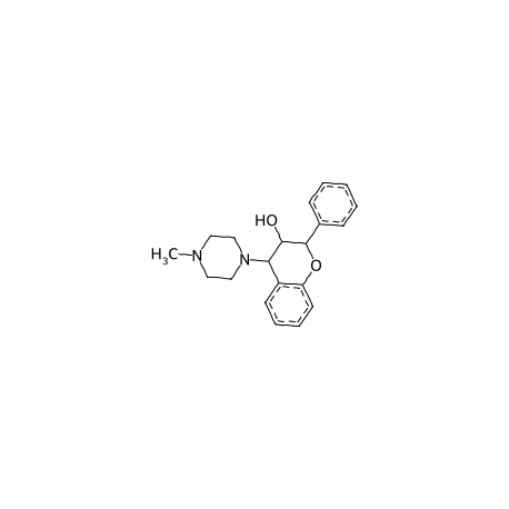 CN1CCN(C2c3ccccc3OC(c3ccccc3)C2O)CC1